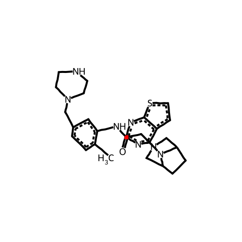 Cc1ccc(CN2CCNCC2)cc1NC(=O)CN1CC2CCC(C1)N2c1ncnc2sccc12